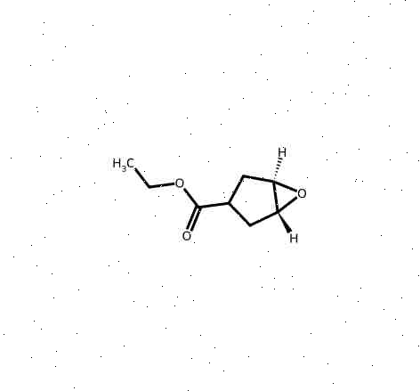 CCOC(=O)C1C[C@H]2O[C@@H]2C1